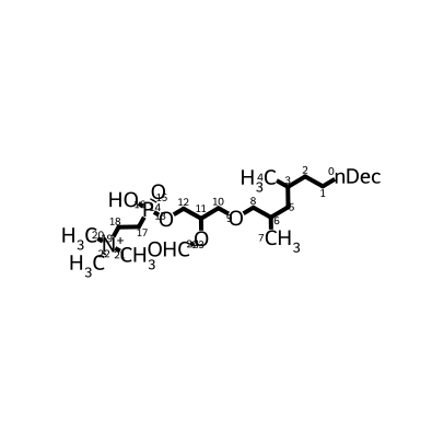 CCCCCCCCCCCCC(C)CC(C)COCC(COP(=O)(O)CC[N+](C)(C)C)OC=O